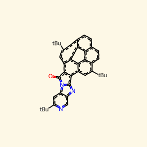 CC(C)(C)c1cc2c(cn1)nc1c3c4cc(C(C)(C)C)c5ccc6ccc7c(C(C)(C)C)cc(c3c(=O)n21)c1c7c6c5c41